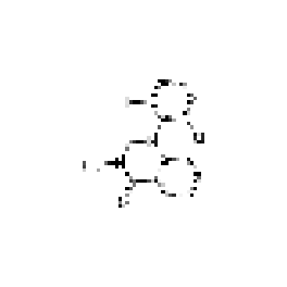 O=C1c2ccccc2N(c2c(Cl)cccc2Cl)CN1O